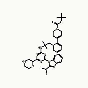 CC(C)(Cc1ccccc1C1=CCN(C(=O)OC(C)(C)C)CC1)Nc1nc(C2CNCCO2)nc(-n2c(C(F)F)nc3ccccc32)n1